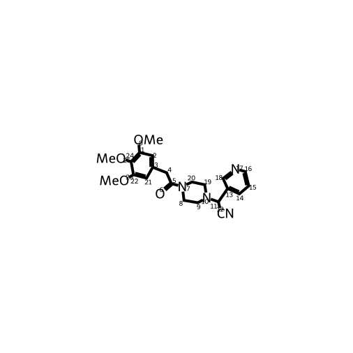 COc1cc(CC(=O)N2CCN(C(C#N)c3cccnc3)CC2)cc(OC)c1OC